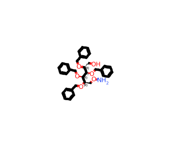 NOC[C@@H](OCc1ccccc1)[C@@H](OCc1ccccc1)[C@H](OCc1ccccc1)[C@@H](CO)OCc1ccccc1